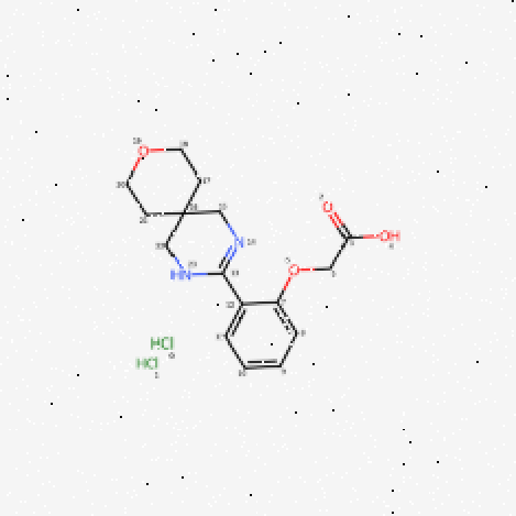 Cl.Cl.O=C(O)COc1ccccc1C1=NCC2(CCOCC2)CN1